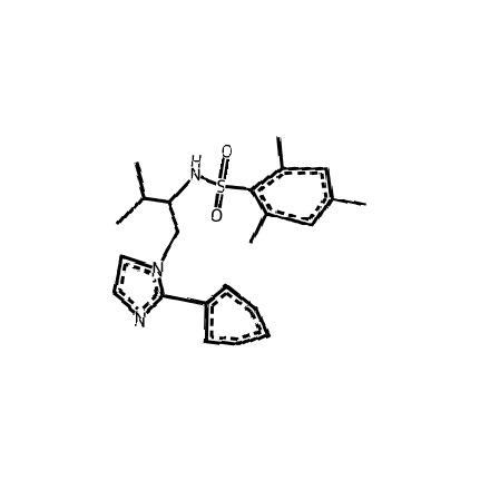 Cc1cc(C)c(S(=O)(=O)NC(Cn2ccnc2-c2ccccc2)C(C)C)c(C)c1